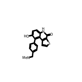 CNCc1ccc(-c2c(O)ccc3[nH]c(=O)c4sccc4c23)cc1